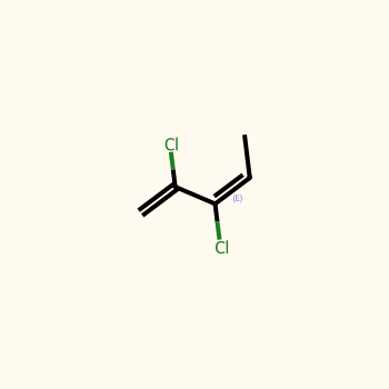 C=C(Cl)/C(Cl)=C\C